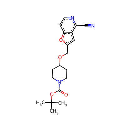 CC(C)(C)OC(=O)N1CCC(OCc2cc3c(C#N)nccc3o2)CC1